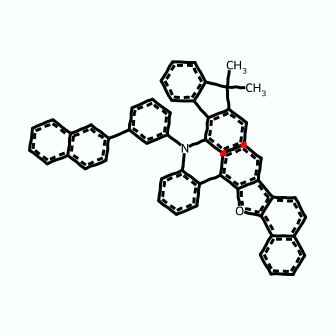 CC1(C)c2ccccc2-c2c(N(c3cccc(-c4ccc5ccccc5c4)c3)c3ccccc3-c3cccc4c3oc3c5ccccc5ccc43)cccc21